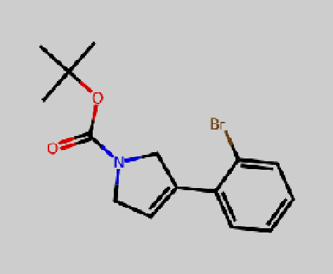 CC(C)(C)OC(=O)N1CC=C(c2ccccc2Br)C1